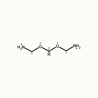 NCOBOCN